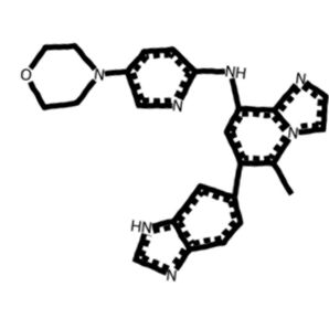 Cc1c(-c2ccc3nc[nH]c3c2)cc(Nc2ccc(N3CCOCC3)cn2)c2nccn12